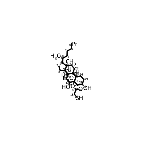 CC(C)CCC[C@@H](C)[C@H]1CC[C@H]2[C@@H]3CC(O)C4(OC(=O)CS)CC(O)CC[C@]4(C)[C@H]3CC[C@]12C